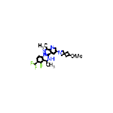 COC1CC2(C1)CN(c1cnc3c(C)nnc(NC(C)c4cccc(C(F)F)c4F)c3c1)C2